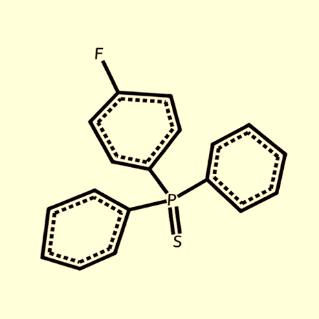 Fc1ccc(P(=S)(c2ccccc2)c2ccccc2)cc1